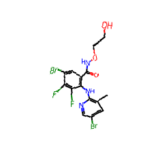 Cc1cc(Br)cnc1Nc1c(C(=O)NOCCO)cc(Br)c(F)c1F